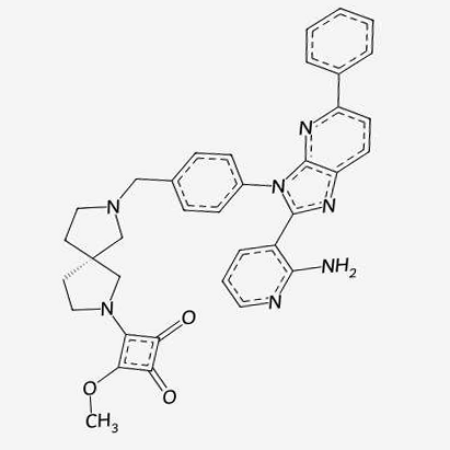 COc1c(N2CC[C@@]3(CCN(Cc4ccc(-n5c(-c6cccnc6N)nc6ccc(-c7ccccc7)nc65)cc4)C3)C2)c(=O)c1=O